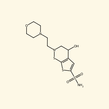 NS(=O)(=O)c1cc2c(s1)SN(CCN1CCOCC1)CC2O